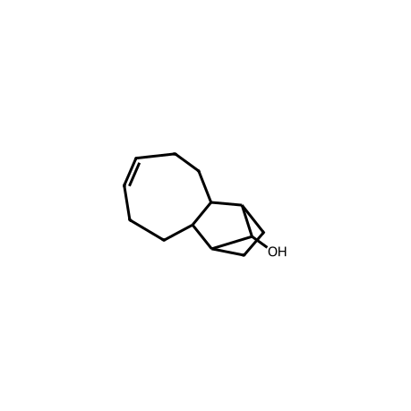 OC1C2CCC1C1CCC=CCCC21